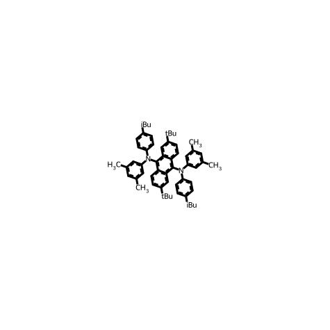 CCC(C)c1ccc(N(c2cc(C)cc(C)c2)c2c3ccc(C(C)(C)C)cc3c(N(c3ccc(C(C)CC)cc3)c3cc(C)cc(C)c3)c3ccc(C(C)(C)C)cc23)cc1